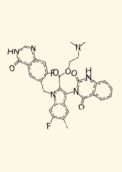 Cc1cc2c(-n3c(=O)[nH]c4ccccc4c3=O)c(C(=O)OCCN(C)C)n(Cc3cc4c(=O)[nH]cnc4cc3F)c2cc1F